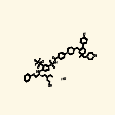 CCN(CCO)CC[C@H](CSc1ccccc1)Nc1ccc(S(=O)(=O)NC(=O)c2ccc(N3CCN(CC4=C(c5ccc(Cl)cc5)CCC(C)(CN5CCNCC5)C4)CC3)cc2)cc1S(=O)(=O)C(F)(F)F.Cl